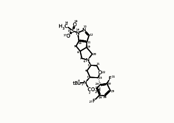 CC(C)(C)N(C(=O)O)[C@H]1C[C@@H](N2CC3Cc4c(cnn4S(C)(=O)=O)C3C2)CO[C@@H]1c1cc(F)ccc1F